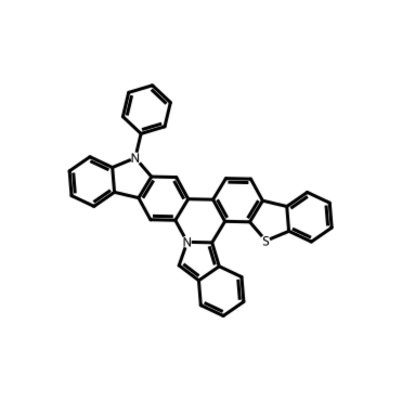 c1ccc(-n2c3ccccc3c3cc4c(cc32)c2ccc3c5ccccc5sc3c2c2c3ccccc3cn42)cc1